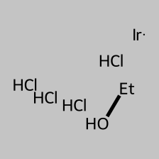 CCO.Cl.Cl.Cl.Cl.[Ir]